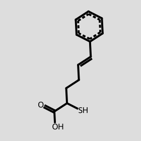 O=C(O)C(S)CCC=Cc1ccccc1